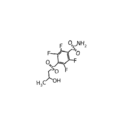 CC(O)CS(=O)(=O)c1c(F)c(F)c(S(N)(=O)=O)c(F)c1F